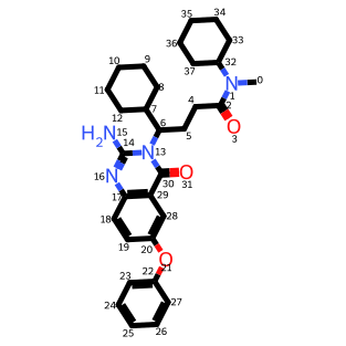 CN(C(=O)CCC(C1CCCCC1)n1c(N)nc2ccc(Oc3ccccc3)cc2c1=O)C1CCCCC1